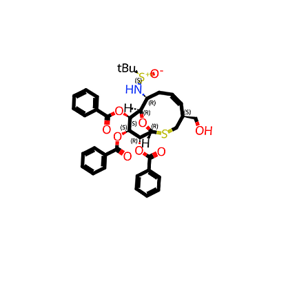 CC(C)(C)[S@@+]([O-])N[C@@H]1CC=C[C@@H](CO)CS[C@H]2O[C@H]1[C@H](OC(=O)c1ccccc1)[C@H](OC(=O)c1ccccc1)[C@H]2OC(=O)c1ccccc1